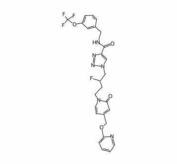 O=C(NCc1cccc(OC(F)(F)F)c1)c1cn(CC(F)CCn2ccc(COc3ccccn3)cc2=O)nn1